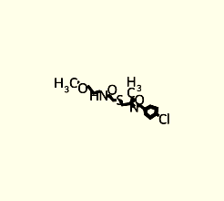 CCOCCCNC(=O)CSCc1nc(-c2ccc(Cl)cc2)oc1C